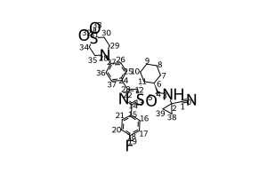 N#CC1(NC(=O)[C@@H]2CCCC[C@H]2c2sc(-c3ccc(F)cc3)nc2-c2ccc(N3CCS(=O)(=O)CC3)cc2)CC1